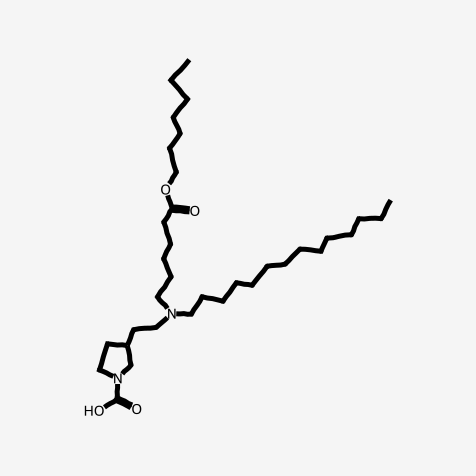 CCCCCCCCCCCCCCN(CCCCCC(=O)OCCCCCCC)CCC1CCN(C(=O)O)C1